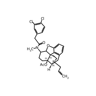 C=CCN1CC[C@]23c4c5cccc4OC2C(N(C)C(=O)Cc2ccc(Cl)c(Cl)c2)CC[C@@]3(OC(C)=O)[C@H]1C5